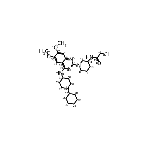 COc1cc2nc(N3CCCC(NC(=O)CCl)C3)nc(NC3CCN(C4CCCCC4)CC3)c2cc1OC